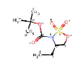 CC[C@@H]1COS(=O)(=O)N1C(=O)OC(C)(C)C